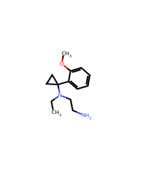 CCN(CCN)C1(c2ccccc2OC)CC1